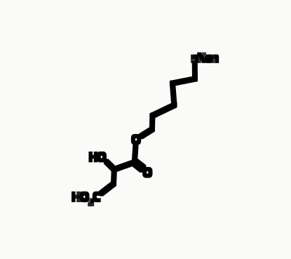 CCCCCCCCCCCCCCOC(=O)C(O)CC(=O)O